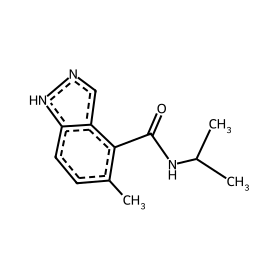 Cc1ccc2[nH]ncc2c1C(=O)NC(C)C